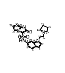 O=S(=O)(Nc1ccc2ccn(CCN3CCCC3)c2c1)c1c(Cl)nc2sccn12